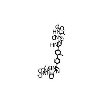 COC(=O)NC(C(=O)N1CCC[C@H]1c1ncc(-c2ccc(-c3ccc(-c4cnc([C@H]5C6CCC(C6)[C@@H]5C(=O)N(NC(=O)OC)C(C)C)[nH]4)cc3)c(C)c2)[nH]1)C(C)C